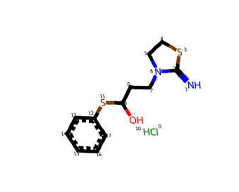 Cl.N=C1SCCN1CCC(O)Sc1ccccc1